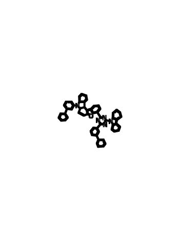 C1=CC2C(c3ccccc3N2c2cccc(-c3ccccc3)c2)c2c1oc1c(-c3nc(-c4cccc(-c5ccccc5)c4)nc(-n4c5ccccc5c5ccccc54)n3)cccc21